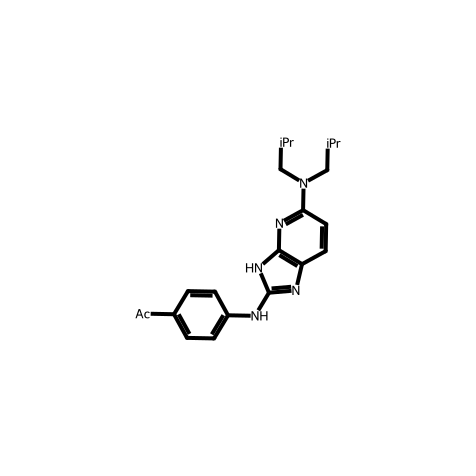 CC(=O)c1ccc(Nc2nc3ccc(N(CC(C)C)CC(C)C)nc3[nH]2)cc1